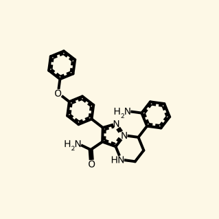 NC(=O)c1c(-c2ccc(Oc3ccccc3)cc2)nn2c1NCCC2c1ccccc1N